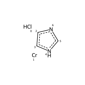 Cl.[Cr].c1c[nH]cn1